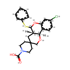 O=C(O)N1CCC2(CC1)CO[C@@H]1c3ccc(Cl)cc3OC(Sc3ccccc3)[C@H]1C2